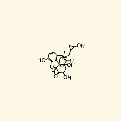 C[N@+]1(CC2CC2O)CC[C@]23c4c5ccc(O)c4O[C@H]2C(=O)C(O)C[C@@]3(O)[C@H]1C5